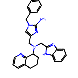 Nc1nc(CN(Cc2nc3ccccc3[nH]2)C2CCCc3cccnc32)cn1Cc1ccccc1